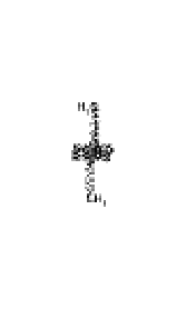 CCCCCCCCCCCCOc1cc2c3c(ccc4c5c(OCCCCCCCCCCCC)cc6c7c(ccc(c1c34)c75)C(=O)c1ccccc1-6)C(=O)c1ccccc1-2